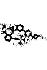 [2H]C([2H])([2H])N1C(=O)c2cccc(C#C[Si](C(C)C)(C(C)C)C(C)C)c2[C@H]2C[C@@H]1c1nc3ccc(-c4cnc(C5(N)CC(OC)C5)nc4)cc3n12